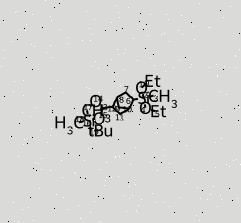 CCO[Si](C)(OCC)C1CC2CC1CC2C(=O)O[Si](C)(C)C(C)(C)C